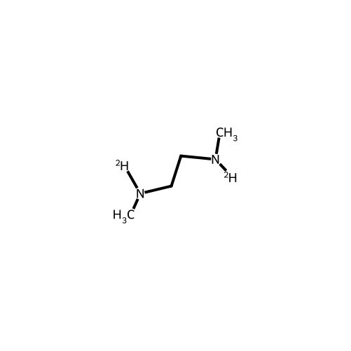 [2H]N(C)CCN([2H])C